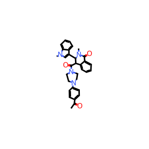 CC(=O)c1ccc(N2CCN(C(=O)C3c4ccccc4C(=O)N(C)C3c3cn(C)c4ccccc34)CC2)cc1